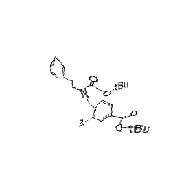 CC(C)(C)OC(=O)c1ccc(CN(CCc2ccccc2)C(=O)OC(C)(C)C)c(Br)c1